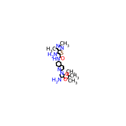 COC(C)C(C)OC1CN(c2ccc3c(n2)CCC(NC(=O)c2sc4nc(C)nc(C)c4c2N)C3)CC1N